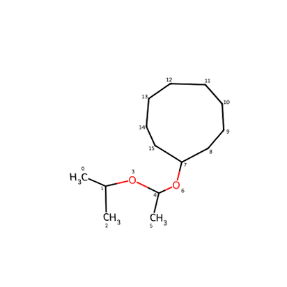 CC(C)OC(C)OC1CCCCCCCC1